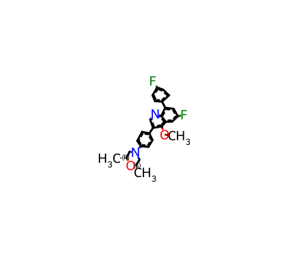 COc1c(-c2ccc(N3C[C@@H](C)O[C@@H](C)C3)cc2)cnc2c(-c3ccc(F)cc3)cc(F)cc12